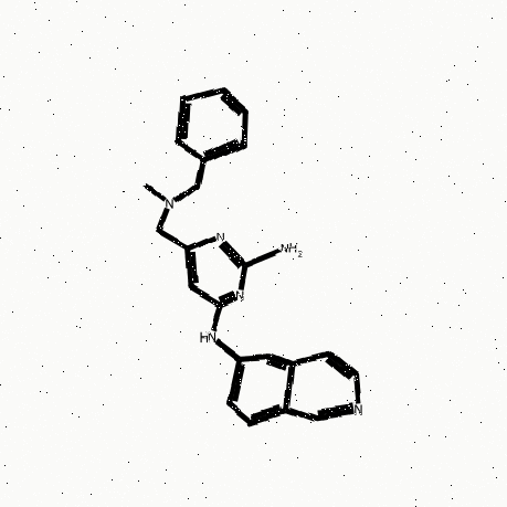 CN(Cc1ccccc1)Cc1cc(Nc2ccc3cnccc3c2)nc(N)n1